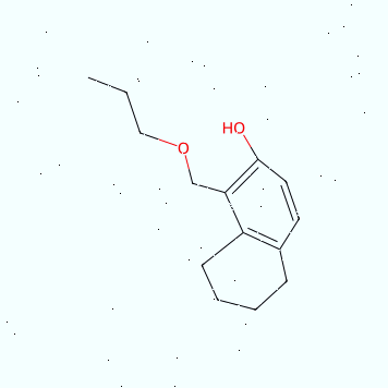 CCCOCc1c(O)ccc2c1CCCC2